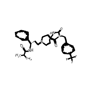 CC(C)C(=O)N[C@@H](CCN1CCC2(CC1)NC(=O)N(Cc1ccc(C(F)(F)F)cc1)C2=O)c1ccccc1